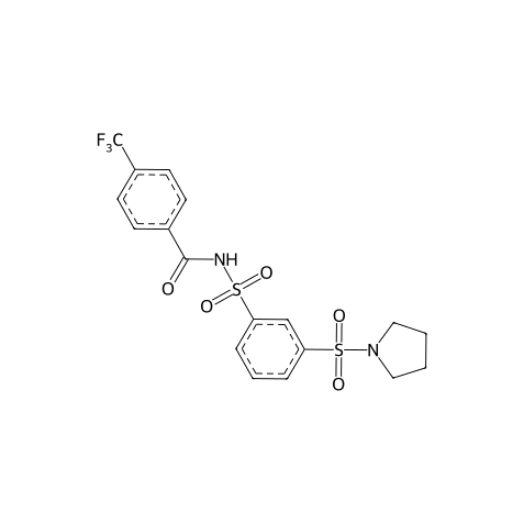 O=C(NS(=O)(=O)c1cccc(S(=O)(=O)N2CCCC2)c1)c1ccc(C(F)(F)F)cc1